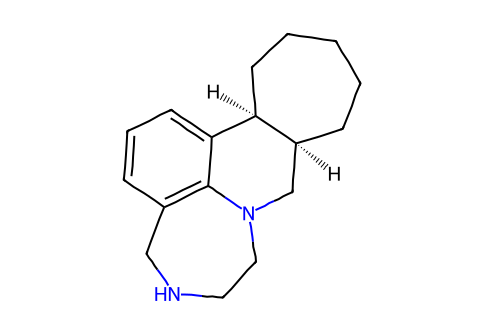 c1cc2c3c(c1)[C@H]1CCCCC[C@H]1CN3CCNC2